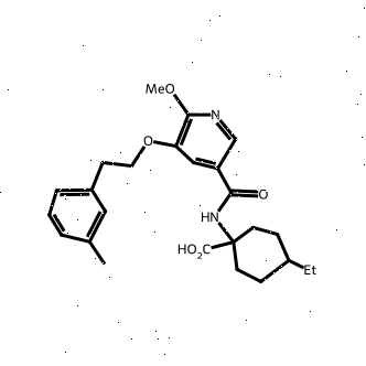 CCC1CCC(NC(=O)c2cnc(OC)c(OCCc3cccc(C)c3)c2)(C(=O)O)CC1